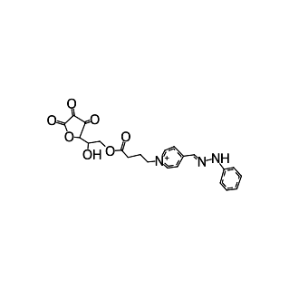 O=C(CCC[n+]1ccc(/C=N/Nc2ccccc2)cc1)OCC(O)C1OC(=O)C(=O)C1=O